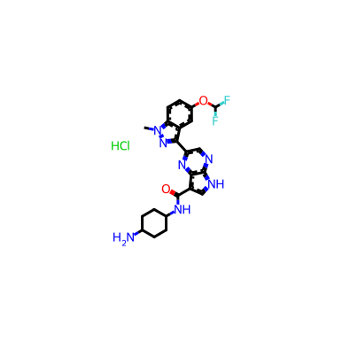 Cl.Cn1nc(-c2cnc3[nH]cc(C(=O)NC4CCC(N)CC4)c3n2)c2cc(OC(F)F)ccc21